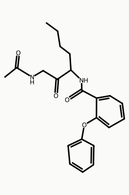 CCCCC(NC(=O)c1ccccc1Oc1ccccc1)C(=O)CNC(C)=O